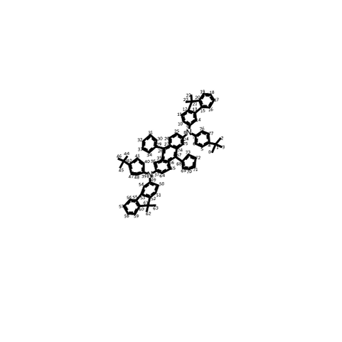 CC(C)(C)c1ccc(N(c2ccc3c(c2)-c2ccccc2C3(C)C)c2ccc3c(-c4ccccc4)c4cc(N(c5ccc(C(C)(C)C)cc5)c5ccc6c(c5)-c5ccccc5C6(C)C)ccc4c(-c4ccccc4)c3c2)cc1